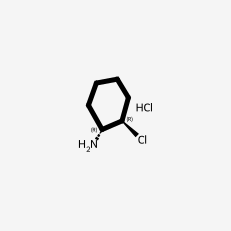 Cl.N[C@@H]1CCCC[C@H]1Cl